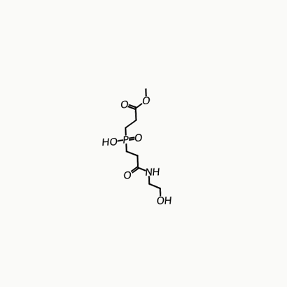 COC(=O)CCP(=O)(O)CCC(=O)NCCO